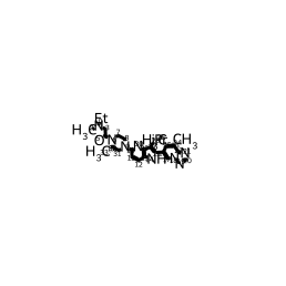 CCN(C)CC(=O)N1CCN(c2ccc3[nH]c(-c4cn5ncnc5c(C)c4C)c(C(C)C)c3n2)C[C@@H]1C